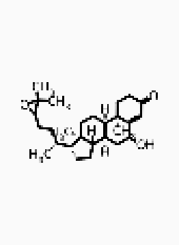 C[C@H](CCC1OC1(C)C)[C@H]1CC[C@H]2[C@@H]3CC(O)C4=CC(=O)CC[C@]4(C)[C@H]3CC[C@]12C